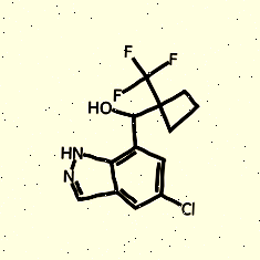 OC(c1cc(Cl)cc2cn[nH]c12)C1(C(F)(F)F)CCC1